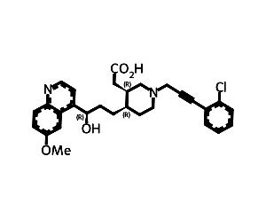 COc1ccc2nccc([C@H](O)CC[C@@H]3CCN(CC#Cc4ccccc4Cl)C[C@@H]3CC(=O)O)c2c1